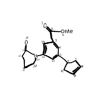 COC(=O)c1cc(C2CC=CC2)cc(N2CCCC2=O)c1